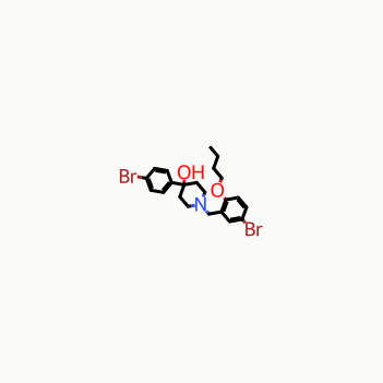 CCCCOc1ccc(Br)cc1CN1CCC(O)(c2ccc(Br)cc2)CC1